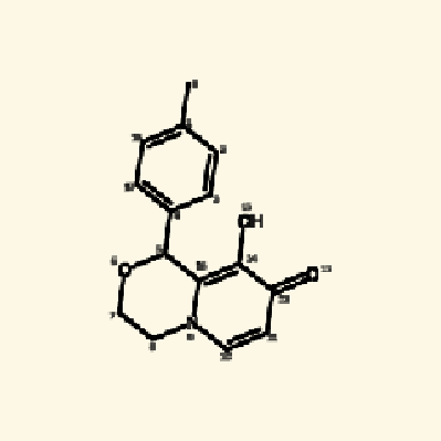 Cc1ccc(C2OCCn3ccc(=O)c(O)c32)cc1